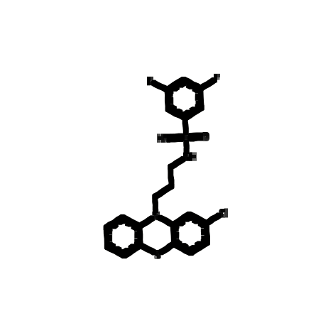 N=S(=O)(NCCCN1c2ccccc2Sc2ccc(Cl)cc21)c1cc(F)cc(F)c1